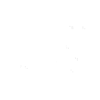 CC(=O)Nc1cccc(-c2cc3nc(-c4cccc(N)c4C=N)nc(N4CCOCC4)c3s2)c1